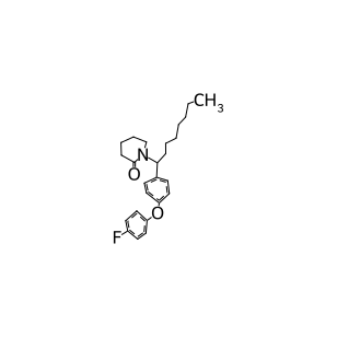 CCCCCCCC(c1ccc(Oc2ccc(F)cc2)cc1)N1CCCCC1=O